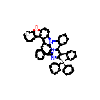 c1ccc(-c2nc(-c3ccccc3-n3c4ccccc4c4c5c(ccc43)oc3ccccc35)c3c(n2)[Si](c2ccccc2)(c2ccccc2)c2ccccc2-3)cc1